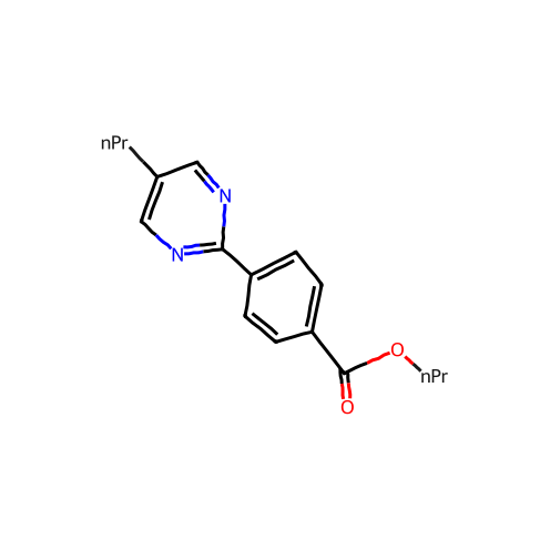 CCCOC(=O)c1ccc(-c2ncc(CCC)cn2)cc1